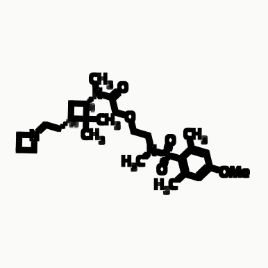 COc1cc(C)c(S(=O)(=O)N(C)CCOCC(=O)N(C)[C@H]2C[C@@H](CCN3CCC3)C2(C)C)c(C)c1